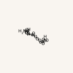 N[C@H]1CCCC[C@H]2CC[C@@H](C(=O)N3C[C@@H](c4ccn(CCOCCOCCOc5cccc6c5CN(C5CCC(=O)NC5=O)C6=O)c(=O)c4)CC34CC4)N2C1=O